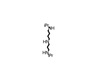 CC(C)NCCCCNCCCNC(C)C